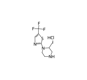 Cl.FC(F)(F)c1cnc(N2CCNCC2I)s1